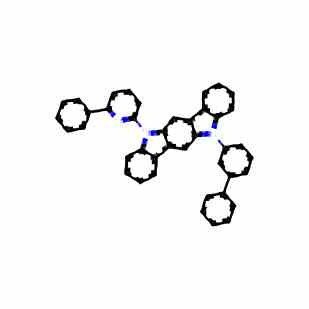 c1ccc(-c2cccc(-n3c4ccccc4c4cc5c(cc43)c3ccccc3n5-c3cccc(-c4ccccc4)n3)c2)cc1